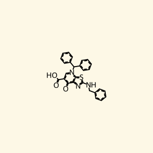 O=C(O)c1cn(C(c2ccccc2)c2ccccc2)c2sc(NCc3ccccc3)nc2c1=O